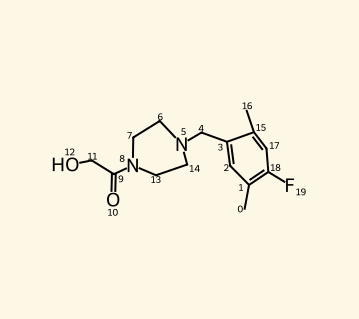 Cc1cc(CN2CCN(C(=O)CO)CC2)c(C)cc1F